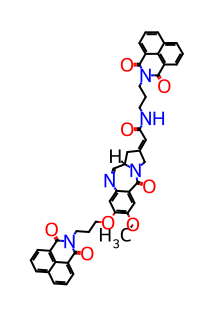 COc1cc2c(cc1OCCCN1C(=O)c3cccc4cccc(c34)C1=O)N=C[C@@H]1C/C(=C\C(=O)NCCCN3C(=O)c4cccc5cccc(c45)C3=O)CN1C2=O